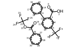 O=C(O)c1cc(C(F)(F)F)ccc1-c1ccccc1.O=C(OC(F)(F)F)c1ccccc1